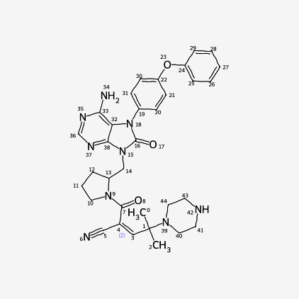 CC(C)(/C=C(/C#N)C(=O)N1CCCC1Cn1c(=O)n(-c2ccc(Oc3ccccc3)cc2)c2c(N)ncnc21)N1CCNCC1